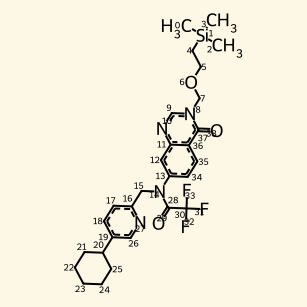 C[Si](C)(C)CCOCn1cnc2cc(N(Cc3ccc(C4CCCCC4)cn3)C(=O)C(F)(F)F)ccc2c1=O